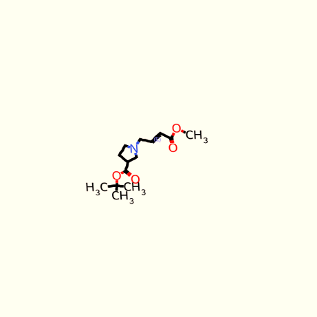 COC(=O)/C=C/CN1CCC(C(=O)OC(C)(C)C)C1